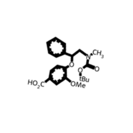 COc1cc(C(=O)O)ccc1OC(CN(C)C(=O)OC(C)(C)C)c1ccccc1